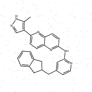 Cc1[nH]ncc1-c1ccc2nc(Nc3cc(CN4Cc5ccccc5C4)ccn3)ccc2n1